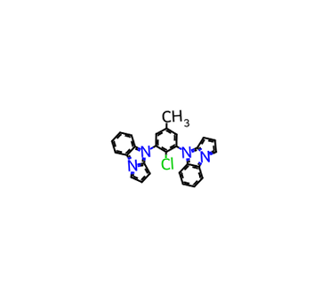 Cc1cc(-n2c3ccccc3n3cccc23)c(Cl)c(-n2c3ccccc3n3cccc23)c1